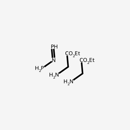 CCOC(=O)CN.CCOC(=O)CN.P=NP